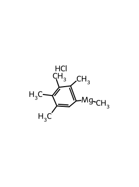 Cl.[CH3][Mg][c]1cc(C)c(C)c(C)c1C